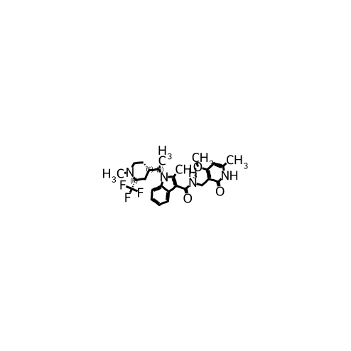 COc1cc(C)[nH]c(=O)c1CNC(=O)c1c(C)n([C@H](C)[C@H]2CCN(C)[C@@H](C(F)(F)F)C2)c2ccccc12